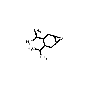 CC(C)C1CC2OC2CC1C(C)C